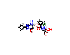 O=C(NCC1(CO)COC1)c1c(Cl)cccc1OCc1cc(=O)n2nc(C3=CC=CCC3)nc2[nH]1